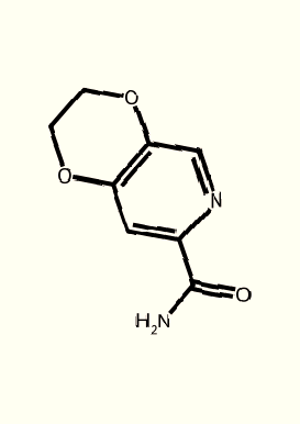 NC(=O)c1cc2c(cn1)OCCO2